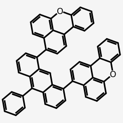 c1ccc(-c2c3cccc(-c4ccc5c6c(cccc46)Oc4ccccc4-5)c3cc3c(-c4ccc5c6c(cccc46)Oc4ccccc4-5)cccc23)cc1